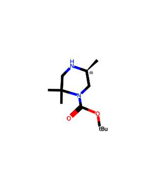 C[C@H]1CN(C(=O)OC(C)(C)C)C(C)(C)CN1